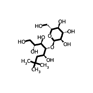 CC(C)(C)C[C@H](O)[C@@H](O[C@H]1O[C@H](CO)[C@@H](O)[C@H](O)[C@H]1O)[C@H](O)[C@H](O)CO